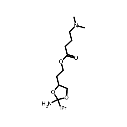 CC(C)C1(N)OCC(CCOC(=O)CCCN(C)C)O1